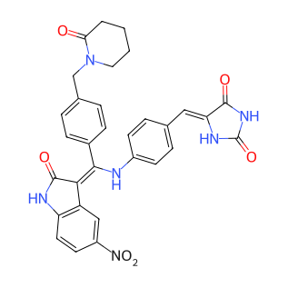 O=C1NC(=O)/C(=C/c2ccc(NC(=C3C(=O)Nc4ccc([N+](=O)[O-])cc43)c3ccc(CN4CCCCC4=O)cc3)cc2)N1